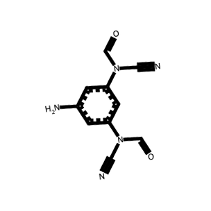 N#CN(C=O)c1cc(N)cc(N(C#N)C=O)c1